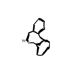 [H+].c1ccc2c(c1)cnc1ccccc12